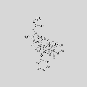 COC(=O)CC[C@@H](C)[C@H]1CC[C@H]2[C@@H]3[C@@H](OC4CCCCO4)C[C@@H]4CCCC[C@]4(C)[C@H]3CC[C@]12C